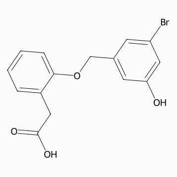 O=C(O)Cc1ccccc1OCc1cc(O)cc(Br)c1